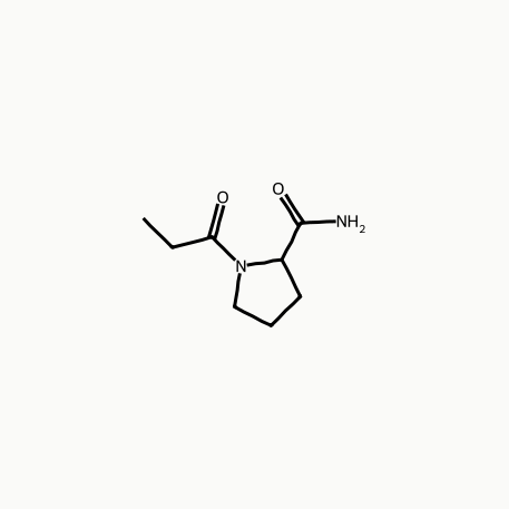 CCC(=O)N1CCCC1C(N)=O